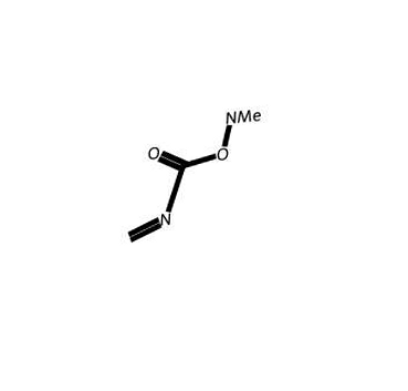 C=NC(=O)ONC